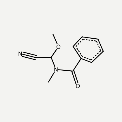 COC(C#N)N(C)C(=O)c1ccccc1